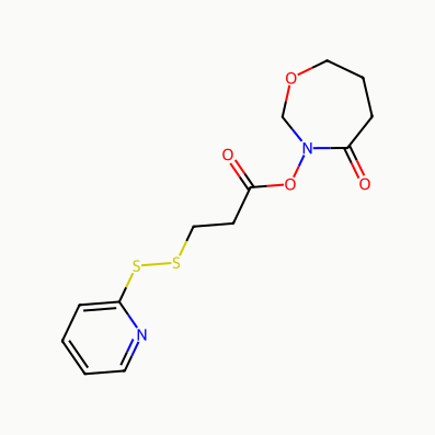 O=C(CCSSc1ccccn1)ON1COCCCC1=O